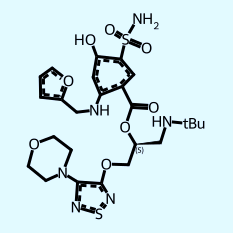 CC(C)(C)NC[C@@H](COc1nsnc1N1CCOCC1)OC(=O)c1cc(S(N)(=O)=O)c(O)cc1NCc1ccco1